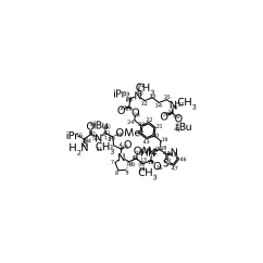 CC[C@H](C)[C@@H]([C@@H](CC(=O)N1CCC[C@H]1[C@H](OC)[C@@H](C)C(=O)N[C@@H](Cc1ccc(COC(=O)[C@H](C(C)C)N(C)CCCCN(C)C(=O)OC(C)(C)C)cc1)c1nccs1)OC)N(C)C(=O)[C@@H](N)C(C)C